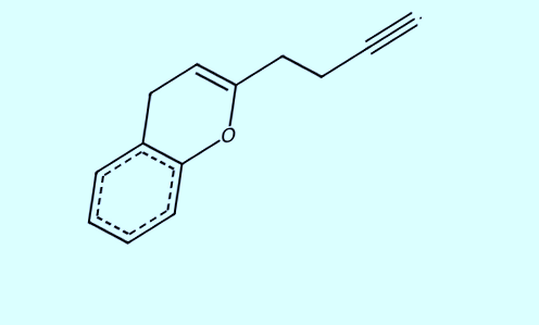 [C]#CCCC1=CCc2ccccc2O1